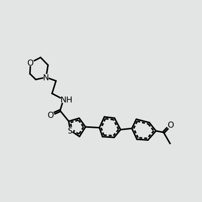 CC(=O)c1ccc(-c2ccc(-c3csc(C(=O)NCCN4CCOCC4)c3)cc2)cc1